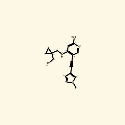 Cn1cc(C#Cc2cnc(Cl)cc2NCC2(CO)CC2)cn1